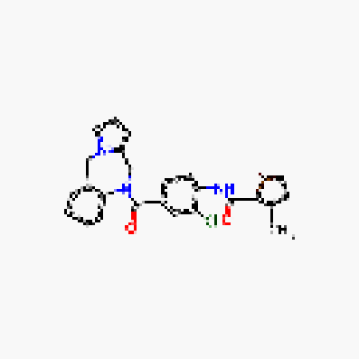 Cc1ccsc1C(=O)Nc1ccc(C(=O)N2Cc3cccn3Cc3ccccc32)cc1Cl